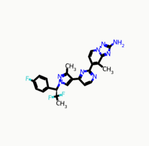 Cc1nn([C@H](c2ccc(F)cc2)C(C)(F)F)cc1-c1ccnc(-c2ccn3nc(N)nc3c2C)n1